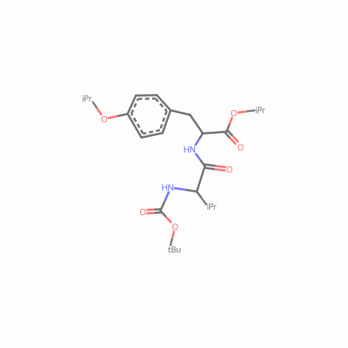 CC(C)OC(=O)C(Cc1ccc(OC(C)C)cc1)NC(=O)C(NC(=O)OC(C)(C)C)C(C)C